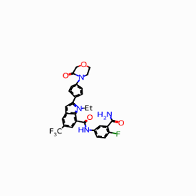 CCn1c(-c2ccc(N3CCOCC3=O)cc2)cc2cc(C(F)(F)F)cc(C(=O)Nc3ccc(F)c(C(N)=O)c3)c21